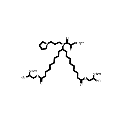 CCCCCCCC(F)C(=O)N(CCCN1CCCC1)C(CCCCCCCCC(=O)OCC(CCCC)CCCCCC)CCCCCCCCC(=O)OCC(CCCC)CCCCCC